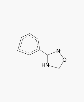 c1ccc(C2[N]OCN2)cc1